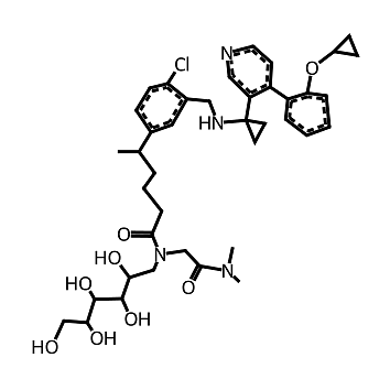 CC(CCCC(=O)N(CC(=O)N(C)C)CC(O)C(O)C(O)C(O)CO)c1ccc(Cl)c(CNC2(c3cnccc3-c3ccccc3OC3CC3)CC2)c1